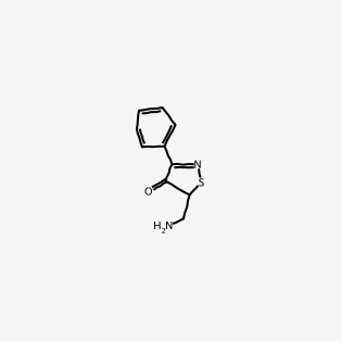 NCC1SN=C(c2ccccc2)C1=O